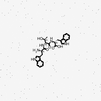 C[C@H](O)[C@@H](NC(=O)[C@H](N)Cc1c[nH]c2ccccc12)C(=O)N[C@H](Cc1c[nH]c2ccccc12)C(=O)O